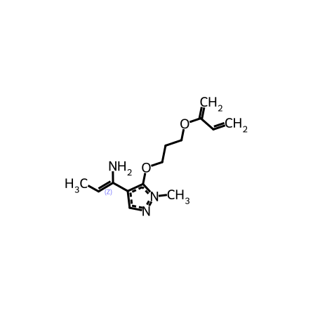 C=CC(=C)OCCCOc1c(/C(N)=C/C)cnn1C